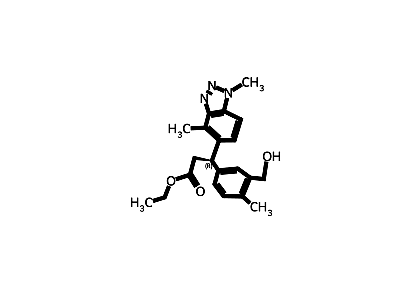 CCOC(=O)C[C@H](c1ccc(C)c(CO)c1)c1ccc2c(nnn2C)c1C